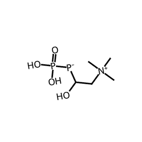 C[N+](C)(C)CC(O)[P-]P(=O)(O)O